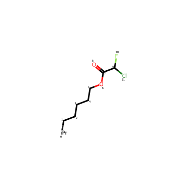 CC(C)CCCCCOC(=O)C(F)Cl